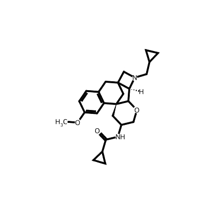 COc1ccc2c(c1)[C@@]13CC(NC(=O)C4CC4)COC1[C@@H]1N(CC4CC4)CC1(C2)C3